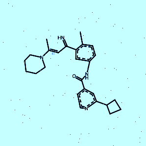 C/C(=C\C(=N)c1cc(NC(=O)c2ccnc(C3CCC3)c2)ccc1C)N1CCCCC1